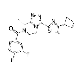 C[C@@H]1c2nnc(-c3nc(C4CCC4)ns3)n2CCN1C(=O)c1ccc(F)c(F)c1